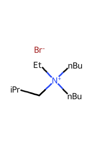 CCCC[N+](CC)(CCCC)CC(C)C.[Br-]